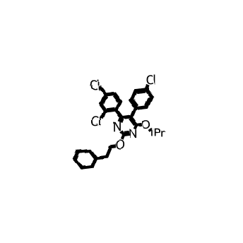 CC(C)Oc1nc(OCCC2CCCCC2)nc(-c2ccc(Cl)cc2Cl)c1-c1ccc(Cl)cc1